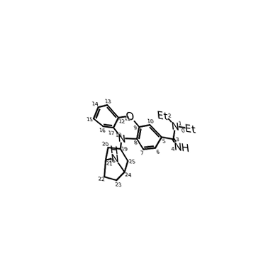 CCN(CC)C(=N)c1ccc2c(c1)Oc1ccccc1N2C1CC2CCC(C1)N2